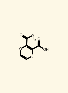 NC(=O)C1=C(C(=O)O)SC=CO1